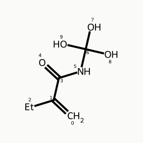 C=C(CC)C(=O)NC(O)(O)O